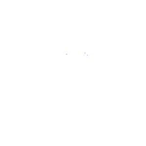 NC(=O)NC1CC1c1ccccc1